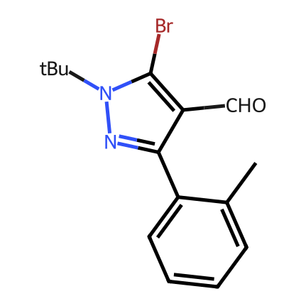 Cc1ccccc1-c1nn(C(C)(C)C)c(Br)c1C=O